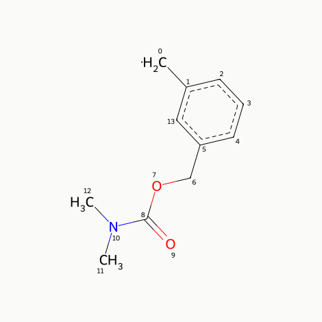 [CH2]c1cccc(COC(=O)N(C)C)c1